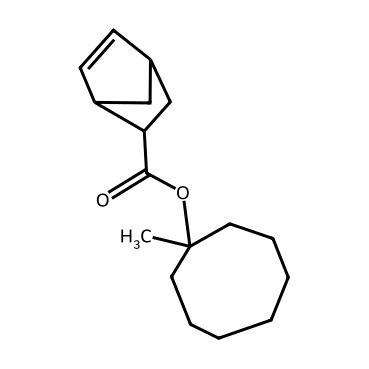 CC1(OC(=O)C2CC3C=CC2C3)CCCCCCC1